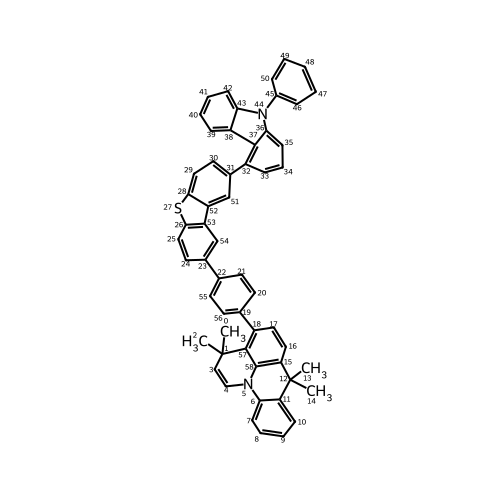 CC1(C)C=CN2c3ccccc3C(C)(C)c3ccc(-c4ccc(-c5ccc6sc7ccc(-c8cccc9c8c8ccccc8n9-c8ccccc8)cc7c6c5)cc4)c1c32